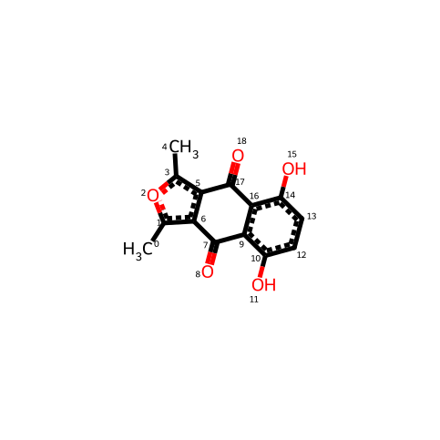 Cc1oc(C)c2c1C(=O)c1c(O)ccc(O)c1C2=O